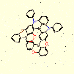 c1ccc(N2c3cc4c(cc3B3c5c2cccc5N(c2ccccc2)c2cc5c6c(c23)Oc2ccccc2B6c2ccccc2S5)B2c3ccccc3Oc3cccc(c32)O4)cc1